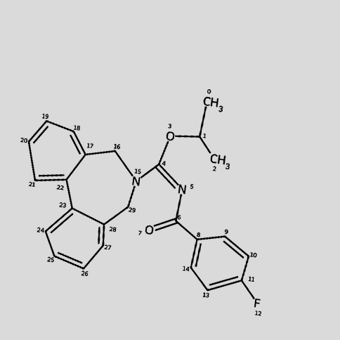 CC(C)OC(=NC(=O)c1ccc(F)cc1)N1Cc2ccccc2-c2ccccc2C1